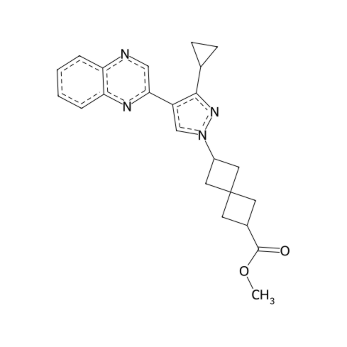 COC(=O)C1CC2(C1)CC(n1cc(-c3cnc4ccccc4n3)c(C3CC3)n1)C2